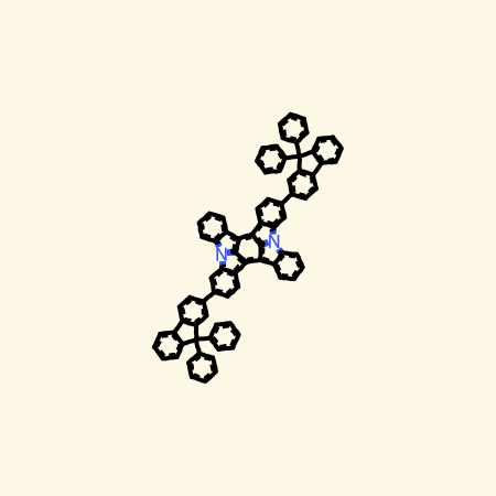 c1ccc(C2(c3ccccc3)c3ccccc3-c3ccc(-c4ccc5c6c7c8ccccc8n8c9cc(-c%10ccc%11c(c%10)C(c%10ccccc%10)(c%10ccccc%10)c%10ccccc%10-%11)ccc9c(c9c%10ccccc%10n(c5c4)c96)c78)cc32)cc1